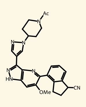 COc1cc2[nH]nc(-c3cnn(C4CCN(C(C)=O)CC4)c3)c2nc1-c1cccc2c1CCC2C#N